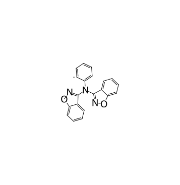 [c]1ccccc1N(c1noc2ccccc12)c1noc2ccccc12